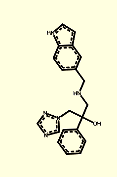 OC(CNCc1ccc2[nH]ccc2c1)(Cn1cncn1)c1ccccc1